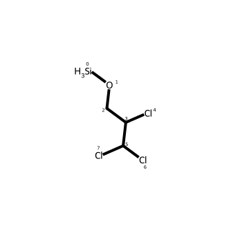 [SiH3]OCC(Cl)C(Cl)Cl